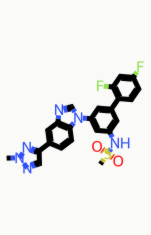 Cn1ncc(-c2ccc3c(c2)ncn3-c2cc(NS(C)(=O)=O)cc(-c3ccc(F)cc3F)c2)n1